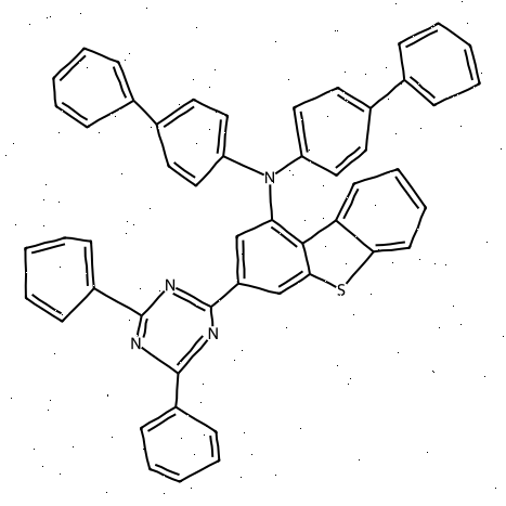 c1ccc(-c2ccc(N(c3ccc(-c4ccccc4)cc3)c3cc(-c4nc(-c5ccccc5)nc(-c5ccccc5)n4)cc4sc5ccccc5c34)cc2)cc1